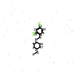 CC[C@H]1CC[C@H](CCc2ccc(F)cc2F)CC1